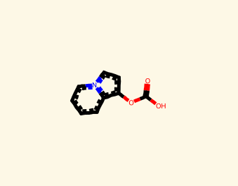 O=C(O)Oc1ccn2ccccc12